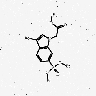 CCOP(=O)(OCC)c1ccc2c(C(C)=O)cn(CC(=O)OC(C)(C)C)c2c1